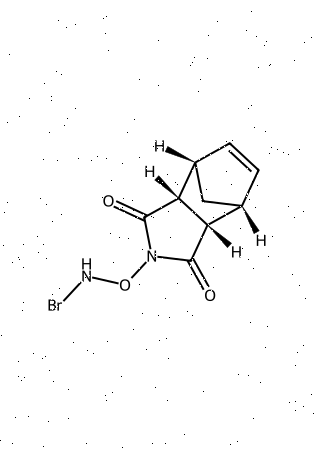 O=C1[C@@H]2[C@H](C(=O)N1ONBr)[C@@H]1C=C[C@H]2C1